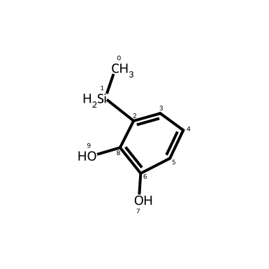 C[SiH2]c1cccc(O)c1O